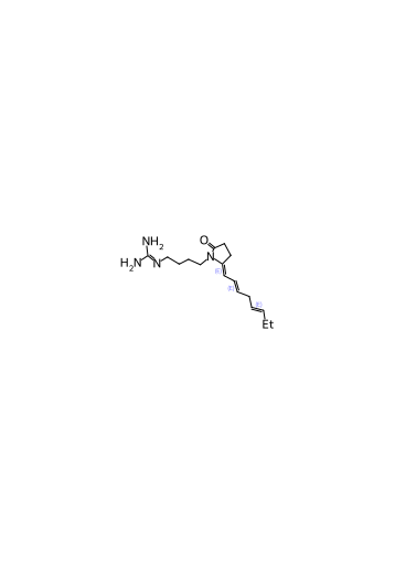 CC/C=C/C/C=C/C=C1\CCC(=O)N1CCCCN=C(N)N